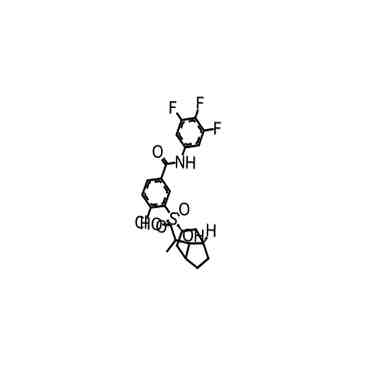 CC(CO)[C@@]1(O)C2CC[C@H]1C[C@H](S(=O)(=O)c1cc(C(=O)Nc3cc(F)c(F)c(F)c3)ccc1Cl)C2